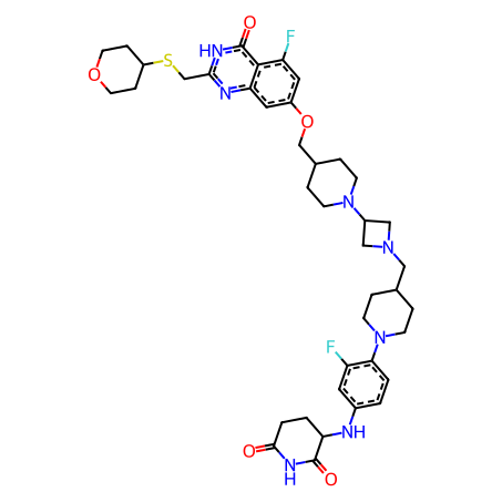 O=C1CCC(Nc2ccc(N3CCC(CN4CC(N5CCC(COc6cc(F)c7c(=O)[nH]c(CSC8CCOCC8)nc7c6)CC5)C4)CC3)c(F)c2)C(=O)N1